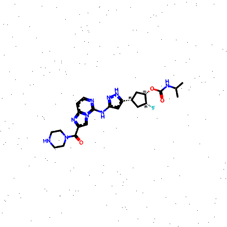 CC(C)NC(=O)O[C@H]1C[C@@H](c2cc(Nc3nccc4nc(C(=O)N5CCNCC5)cn34)n[nH]2)C[C@H]1F